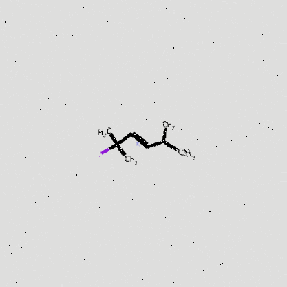 CC(C)/C=C/C(C)(C)I